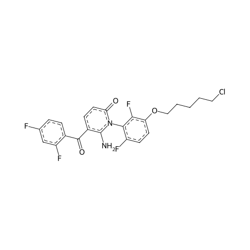 Nc1c(C(=O)c2ccc(F)cc2F)ccc(=O)n1-c1c(F)ccc(OCCCCCCl)c1F